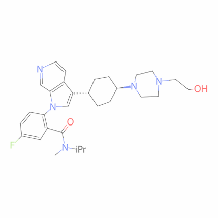 CC(C)N(C)C(=O)c1cc(F)ccc1-n1cc([C@H]2CC[C@H](N3CCN(CCO)CC3)CC2)c2ccncc21